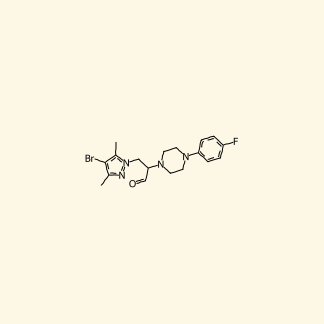 Cc1nn(CC(C=O)N2CCN(c3ccc(F)cc3)CC2)c(C)c1Br